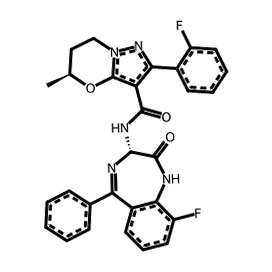 C[C@H]1CCn2nc(-c3ccccc3F)c(C(=O)N[C@H]3N=C(c4ccccc4)c4cccc(F)c4NC3=O)c2O1